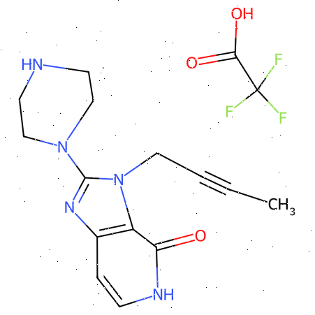 CC#CCn1c(N2CCNCC2)nc2cc[nH]c(=O)c21.O=C(O)C(F)(F)F